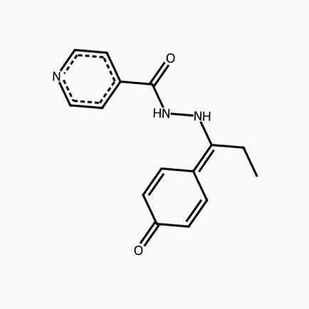 CCC(NNC(=O)c1ccncc1)=C1C=CC(=O)C=C1